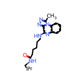 Cc1nnc2c(NCCCCCC(=O)NCC(C)C)nc3ccccc3n12